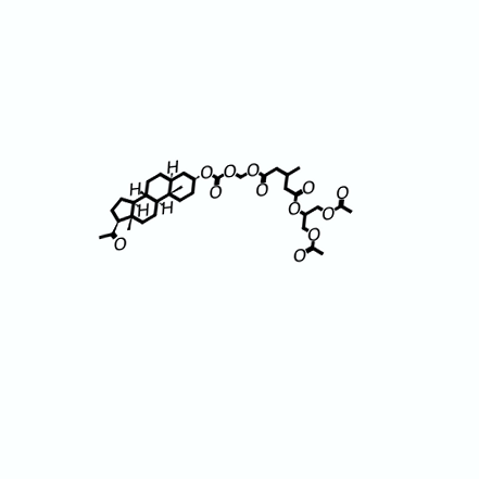 CC(=O)OCC(COC(C)=O)OC(=O)CC(C)CC(=O)OCOC(=O)O[C@@H]1CC[C@@]2(C)[C@@H](CC[C@@H]3[C@@H]2CC[C@]2(C)[C@@H](C(C)=O)CC[C@@H]32)C1